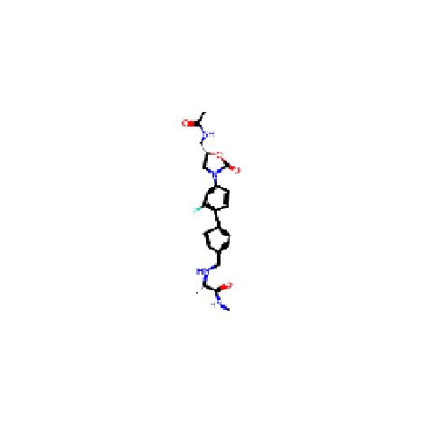 CNC(=O)[C@H](C)NCc1ccc(-c2ccc(N3C[C@H](CNC(C)=O)OC3=O)cc2F)cc1